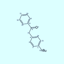 CCCCc1ccc(CC(=O)c2ccccc2)cc1